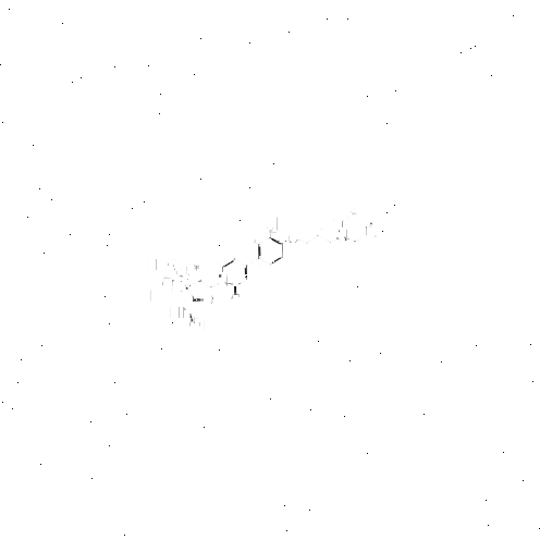 CC(CCn1ccc(-c2ccc(OCCCN3CCOCC3)c(Cl)c2)cc1=O)(C(=O)NO)S(C)(=O)=O